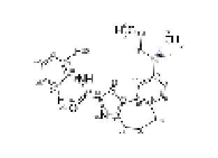 C=CC/C(=C\C)c1ccc2c(c1)-c1sc(C(=O)Nc3c(F)cccc3F)nc1CCC2